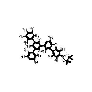 [2H]c1cc([2H])c([2H])c(-c2c([2H])c(-c3cc([2H])c4oc5c([2H])c(B6OC(C)(C)C(C)(C)O6)c([2H])c([2H])c5c4c3[2H])c([2H])c(-c3c([2H])c([2H])c([2H])c([2H])c3[2H])c2[2H])c1[2H]